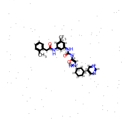 Cc1ccccc1CC(=O)Nc1cc(NC(=O)[N-]c2c[n+]([C@H]3CCC[C@H](c4cncnc4)C3)no2)cc(C(F)(F)F)c1